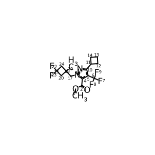 COC(=O)c1c(C(F)(F)F)c(C2CCC2)nn1CC1(C)CC(F)(F)C1